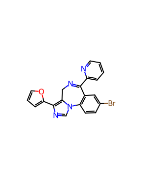 Brc1ccc2c(c1)C(c1ccccn1)=NCc1c(-c3ccco3)ncn1-2